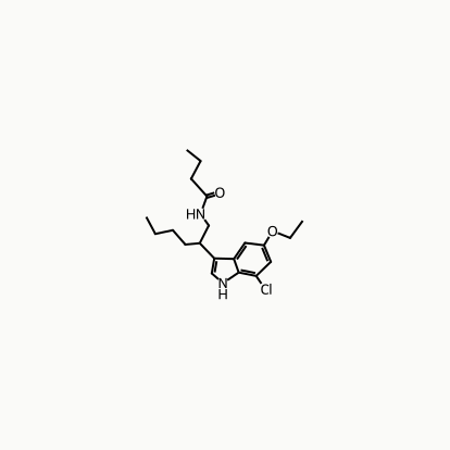 CCCCC(CNC(=O)CCC)c1c[nH]c2c(Cl)cc(OCC)cc12